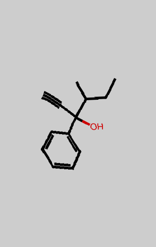 C#CC(O)(c1ccccc1)C(C)CC